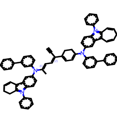 C#C/C(=C\C=C(/C)N(c1cccc(-c2ccccc2)c1)c1ccc2c(c1)c1c(n2-c2ccccc2)CCC=C1)C1=CC=C(N(c2cccc(-c3ccccc3)c2)c2ccc3c(c2)c2c(n3-c3ccccc3)C=CCC=C2)CC1